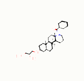 CC12CC[C@H](OC[C@@H](O)CO)CC1CC[C@@H]1C2CCC2(C)[C@H]1CCCN2C(=O)C1CCCCC1